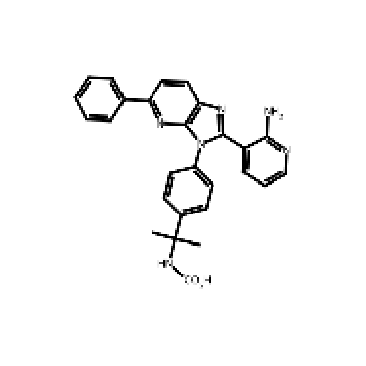 CC(C)(NC(=O)O)c1ccc(-n2c(-c3cccnc3N)nc3ccc(-c4ccccc4)nc32)cc1